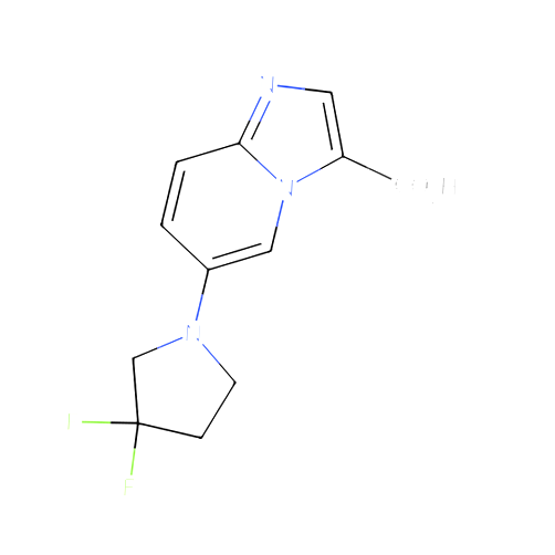 O=C(O)c1cnc2ccc(N3CCC(F)(F)C3)cn12